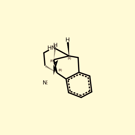 [N].c1ccc2c(c1)C[C@H]1NCC[C@@]23CCCC[C@@H]13